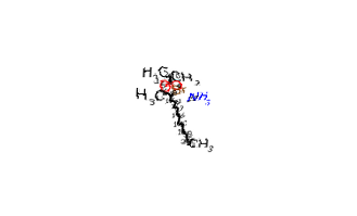 C=C(C)C(=O)OC(C)C(Br)CCCCCCCCCCCC.N